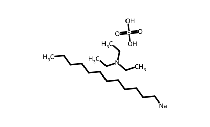 CCCCCCCCCCC[CH2][Na].CCN(CC)CC.O=S(=O)(O)O